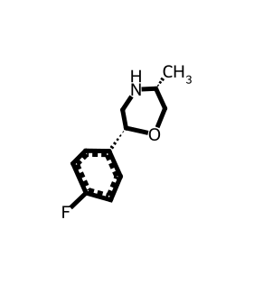 C[C@@H]1CO[C@H](c2ccc(F)cc2)CN1